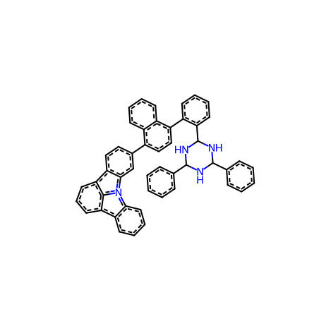 c1ccc(C2NC(c3ccccc3)NC(c3ccccc3-c3ccc(-c4ccc5c6cccc7c8ccccc8n(c5c4)c76)c4ccccc34)N2)cc1